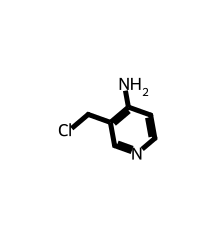 Nc1ccncc1CCl